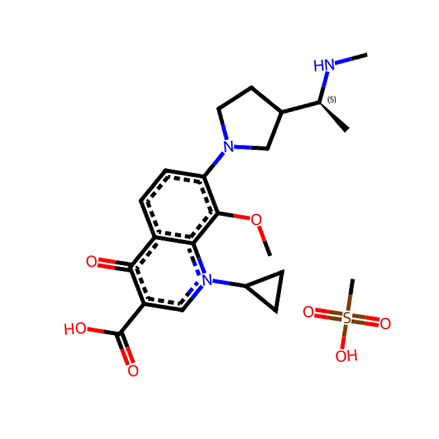 CN[C@@H](C)C1CCN(c2ccc3c(=O)c(C(=O)O)cn(C4CC4)c3c2OC)C1.CS(=O)(=O)O